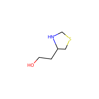 OCCC1CSCN1